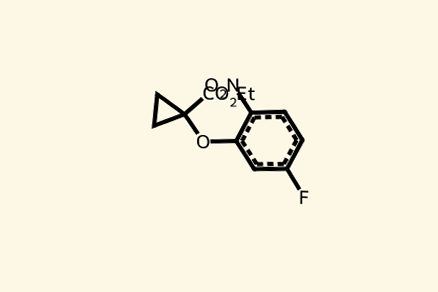 CCOC(=O)C1(Oc2cc(F)ccc2[N+](=O)[O-])CC1